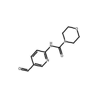 O=Cc1ccc(NC(=O)N2CCOCC2)nc1